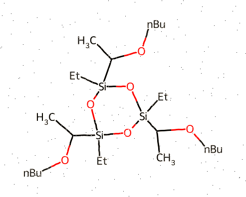 CCCCOC(C)[Si]1(CC)O[Si](CC)(C(C)OCCCC)O[Si](CC)(C(C)OCCCC)O1